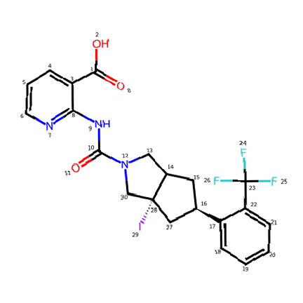 O=C(O)c1cccnc1NC(=O)N1CC2C[C@@H](c3ccccc3C(F)(F)F)C[C@@]2(I)C1